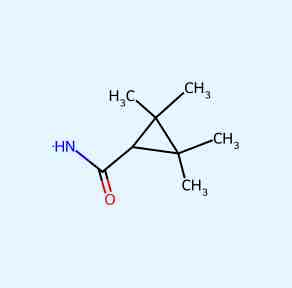 CC1(C)C(C([NH])=O)C1(C)C